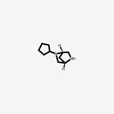 C1CCC(N2C[C@@H]3C[C@H]2CN3)C1